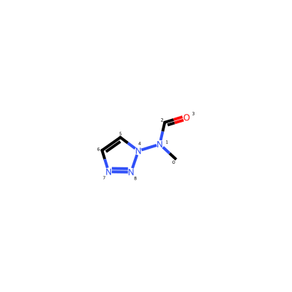 CN(C=O)n1ccnn1